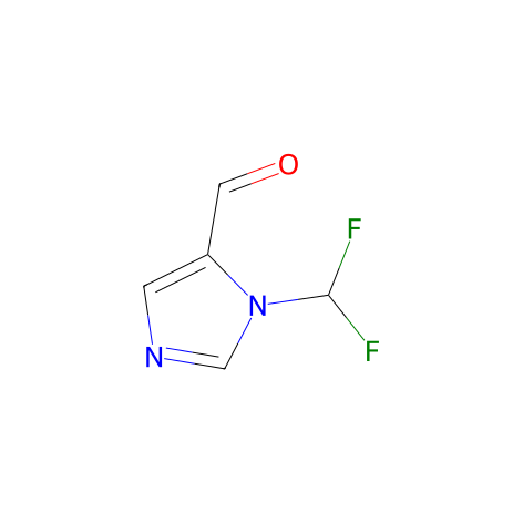 O=Cc1cncn1C(F)F